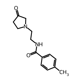 Cc1ccc(C(=O)NCCN2CCC(=O)C2)cc1